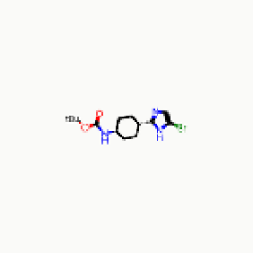 CC(C)(C)OC(=O)N[C@H]1CC[C@H](c2ncc(Br)[nH]2)CC1